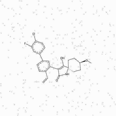 C=Cc1ccc(-c2ccc(Cl)c(F)c2)cc1C1=C(O)[C@]2(CC[C@H](OC)CC2)NC1=O